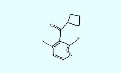 O=C(c1c(I)ccnc1F)C1CCC1